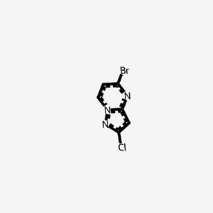 Clc1cc2nc(Br)ccn2n1